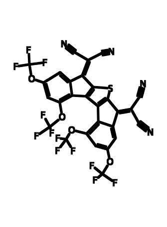 N#CC(C#N)=C1c2cc(OC(F)(F)F)cc(OC(F)(F)F)c2-c2c1sc1c2-c2c(OC(F)(F)F)cc(OC(F)(F)F)cc2C1=C(C#N)C#N